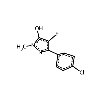 Cn1nc(-c2ccc(Cl)cc2)c(F)c1O